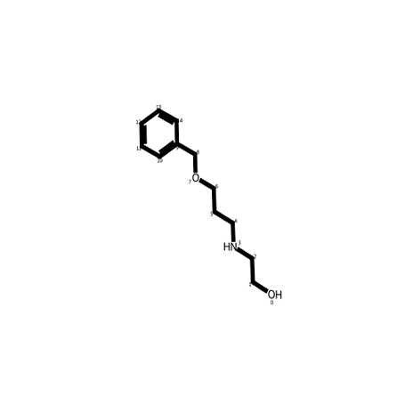 OCCNCCCOCc1ccccc1